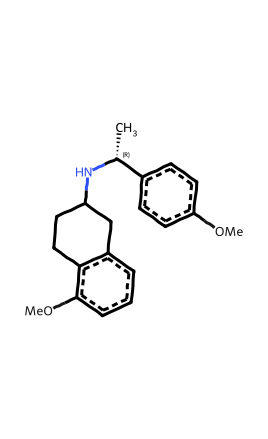 COc1ccc([C@@H](C)NC2CCc3c(cccc3OC)C2)cc1